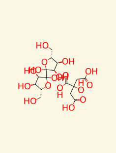 O=C(O)CC(O)(CC(=O)O)C(=O)O.OC[C@H]1OC(O)(C2(O)O[C@H](CO)[C@@H](O)[C@H]2O)[C@H](O)[C@@H]1O